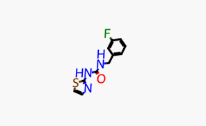 O=C(NCc1cccc(F)c1)Nc1nccs1